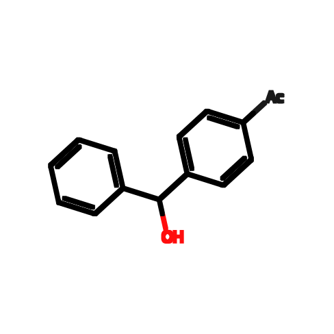 CC(=O)c1ccc(C(O)c2ccccc2)cc1